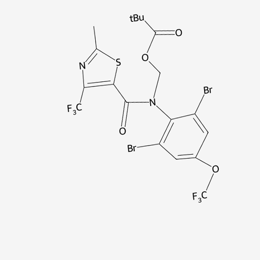 Cc1nc(C(F)(F)F)c(C(=O)N(COC(=O)C(C)(C)C)c2c(Br)cc(OC(F)(F)F)cc2Br)s1